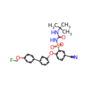 CC(C)(C)NC(=O)NS(=O)(=O)c1cc(C#N)ccc1Oc1cccc(-c2ccc(OCF)cc2)c1